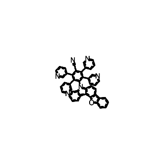 N#Cc1c(-c2cccnc2)c(-c2cccnc2)c(-n2c3ccccc3c3c4oc5ccccc5c4ccc32)c(-c2cccnc2)c1-c1cccnc1